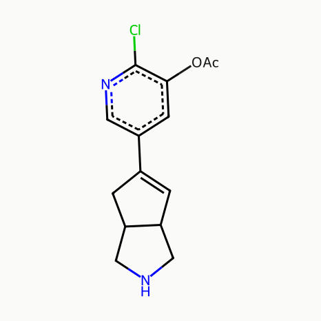 CC(=O)Oc1cc(C2=CC3CNCC3C2)cnc1Cl